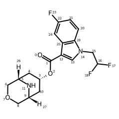 O=C(O[C@H]1C[C@H]2COC[C@@H](C1)N2)c1cn(CC(F)F)c2ccc(F)cc12